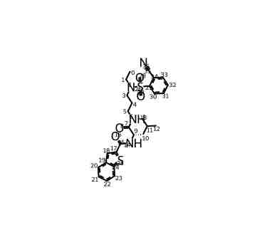 CCN(CCCNC(=O)[C@H](CC(C)C)NC(=O)c1cc2ccccc2s1)S(=O)(=O)c1ccccc1C#N